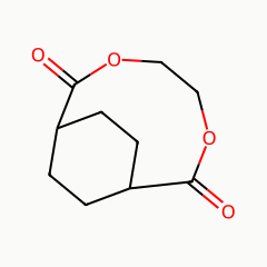 O=C1OCCOC(=O)C2CCC1CC2